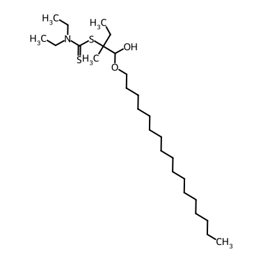 CCCCCCCCCCCCCCCCCOC(O)C(C)(CC)SC(=S)N(CC)CC